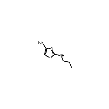 CCCNc1nc(N)cs1